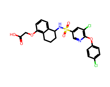 O=C(O)COc1cccc2c1CCCC2NS(=O)(=O)c1cnc(Oc2ccc(Cl)cc2)c(Cl)c1